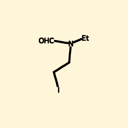 CCN(C=O)CCI